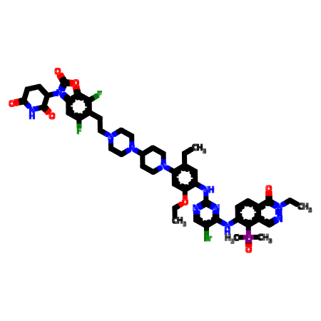 CCOc1cc(N2CCC(N3CCN(CCc4c(F)cc5c(oc(=O)n5C5CCC(=O)NC5=O)c4F)CC3)CC2)c(CC)cc1Nc1ncc(Br)c(Nc2ccc3c(=O)n(CC)ncc3c2P(C)(C)=O)n1